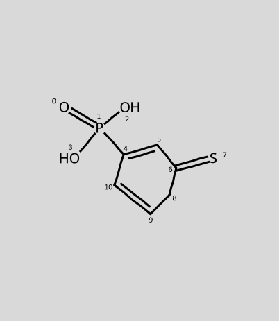 O=P(O)(O)C1=CC(=S)CC=C1